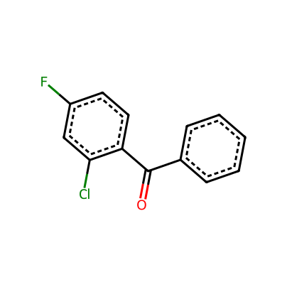 O=C(c1ccccc1)c1ccc(F)cc1Cl